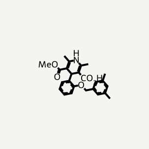 COC(=O)C1=C(C)NC(C)=C(C(=O)O)C1c1ccccc1OCc1cc(C)cc(C)c1